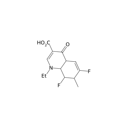 CCN1C=C(C(=O)O)C(=O)C2C=C(F)C(C)C(F)C21